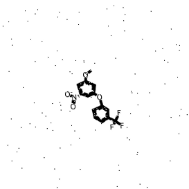 COc1cc(Oc2cccc(C(F)(F)F)c2)cc([N+](=O)[O-])c1